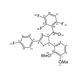 COc1cccc(C2CC(c3ccc(F)cc3)=CC2C(=O)c2c(F)ccc(F)c2F)c1OC